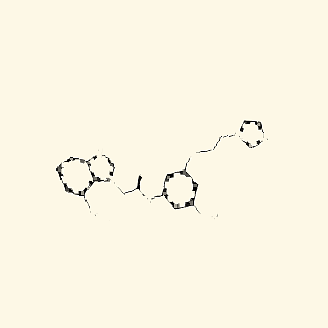 COc1cc(NC(=O)Cn2cnc3cccc([N+](=O)[O-])c32)cc(OCCn2ccnc2)c1